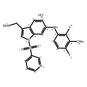 CNCc1cn(S(=O)(=O)c2cccnc2)c2cc(Nc3ccc(F)c(OC)c3F)ccc12.Cl